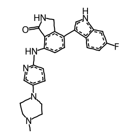 CN1CCN(c2ccc(Nc3ccc(-c4c[nH]c5cc(F)ccc45)c4c3C(=O)NC4)nc2)CC1